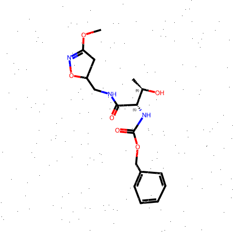 COC1=NOC(CNC(=O)[C@@H](NC(=O)OCc2ccccc2)[C@@H](C)O)C1